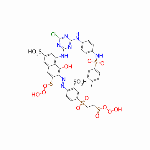 Cc1ccc(S(=O)(=O)Nc2ccc(Nc3nc(Cl)nc(Nc4cc(S(=O)(=O)O)cc5cc(SOOO)c(/N=N/c6ccc(S(=O)(=O)CCS(=O)OOO)cc6S(=O)(=O)O)c(O)c45)n3)cc2)cc1